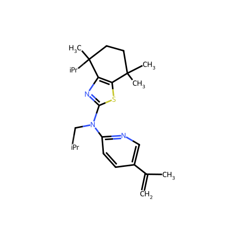 C=C(C)c1ccc(N(CC(C)C)c2nc3c(s2)C(C)(C)CCC3(C)C(C)C)nc1